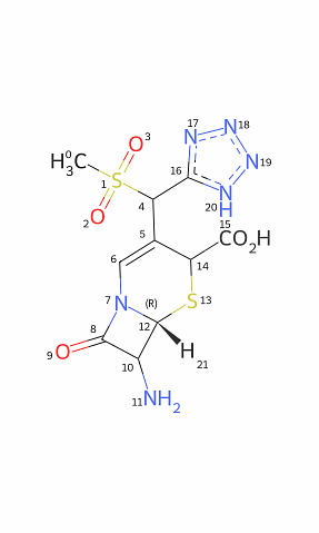 CS(=O)(=O)C(C1=CN2C(=O)C(N)[C@H]2SC1C(=O)O)c1nnn[nH]1